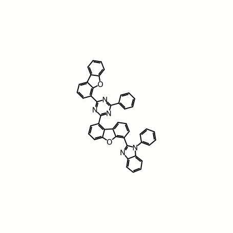 c1ccc(-c2nc(-c3cccc4c3oc3ccccc34)nc(-c3cccc4oc5c(-c6nc7ccccc7n6-c6ccccc6)cccc5c34)n2)cc1